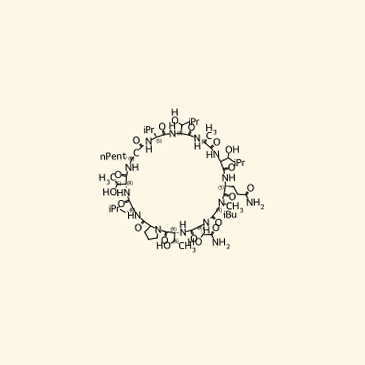 CCCCC[C@@H]1CC(=O)N[C@@H](C(C)C)C(=O)N[C@@H](C(O)C(C)C)C(=O)N[C@@H](C)C(=O)NC(C(O)C(C)C)C(=O)N[C@@H](CCC(N)=O)C(=O)N(C)[C@H](C(C)CC)C(=O)N[C@H](C(O)C(N)=O)C(=O)N[C@H]([C@H](C)O)C(=O)N2CCCC2C(=O)N[C@H](CC(C)C)C(=O)N[C@H]([C@H](C)O)C(=O)N1